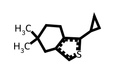 CC1(C)CCc2c(csc2C2CC2)C1